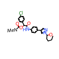 CNC(=O)OC(C(=O)Nc1ccc(-c2cnn(C3CCCCO3)c2)cc1)c1ccc(Cl)cc1